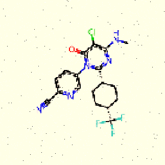 CNc1nc([C@H]2CC[C@@H](C(F)(F)F)CC2)n(-c2ccc(C#N)nc2)c(=O)c1Cl